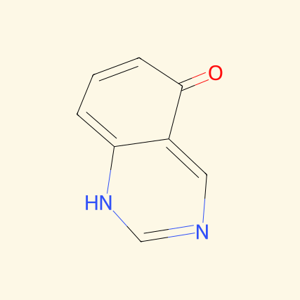 O=c1cccc2[nH]cncc1-2